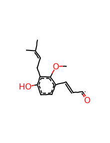 COc1c(/C=C/[C]=O)ccc(O)c1CC=C(C)C